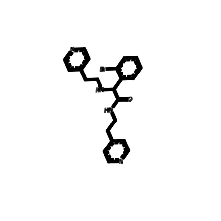 O=C(NCCc1ccncc1)C(NCCc1ccncc1)c1ccccc1Br